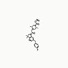 CC1CN(CC(=O)N2CC(C)(C)c3ncc(Cc4ccc(F)cc4)cc32)[C@@H](C)CN1C(=O)OC(C)(C)C